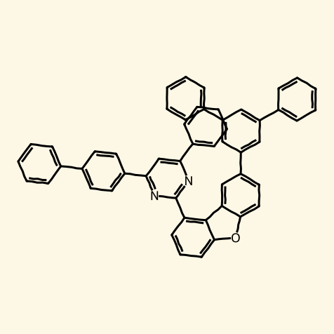 C1=CC(c2cc(-c3ccc(-c4ccccc4)cc3)nc(-c3cccc4oc5ccc(-c6cc(-c7ccccc7)cc(-c7ccccc7)c6)cc5c34)n2)=CCC1